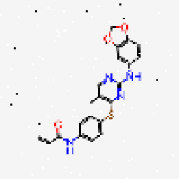 C=CC(=O)Nc1ccc(Sc2nc(Nc3ccc4c(c3)OCO4)ncc2C)cc1